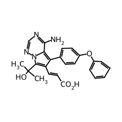 CC(C)(O)c1c(C=CC(=O)O)c(-c2ccc(Oc3ccccc3)cc2)c2c(N)ncnn12